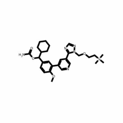 COc1ccc(C(OC(N)=O)C2CCCCC2)cc1-c1cncc(-c2ncnn2COCC[Si](C)(C)C)c1